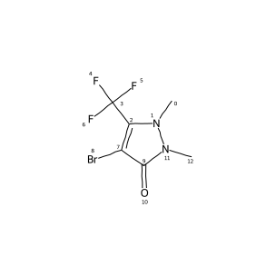 Cn1c(C(F)(F)F)c(Br)c(=O)n1C